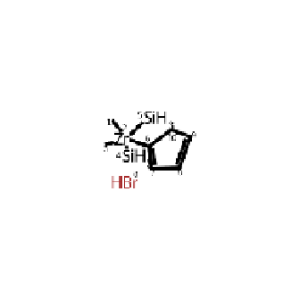 Br.[CH3][Zr]([CH3])([SiH3])([SiH3])[C]1=CC=CC1